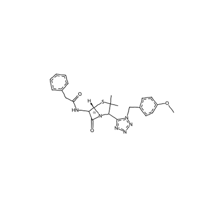 COc1ccc(Cn2nnnc2C2N3C(=O)C(NC(=O)Cc4ccccc4)[C@@H]3SC2(C)C)cc1